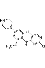 COc1cc(N2CCNCC2)ccc1Nc1nc(Cl)ncc1Cl